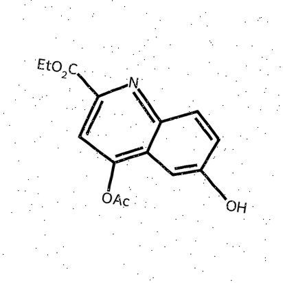 CCOC(=O)c1cc(OC(C)=O)c2cc(O)ccc2n1